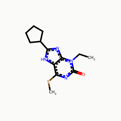 CCn1c(=O)nc(SC)c2[nH]c(C3CCCC3)nc21